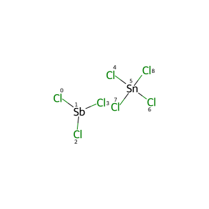 [Cl][Sb]([Cl])[Cl].[Cl][Sn]([Cl])([Cl])[Cl]